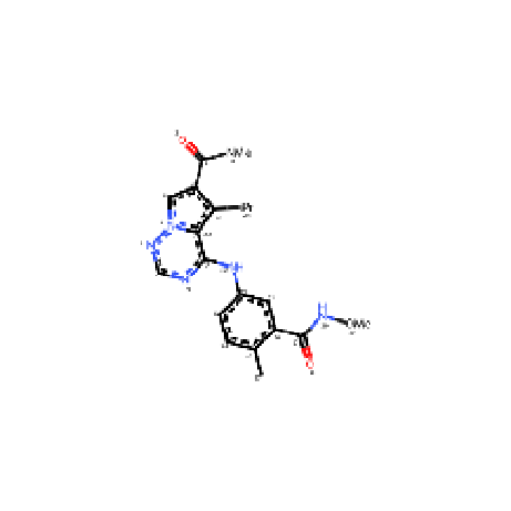 CNC(=O)c1cn2ncnc(Nc3ccc(C)c(C(=O)NOC)c3)c2c1C(C)C